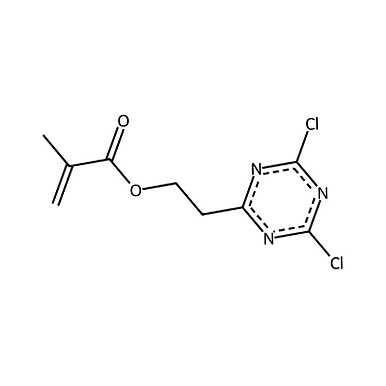 C=C(C)C(=O)OCCc1nc(Cl)nc(Cl)n1